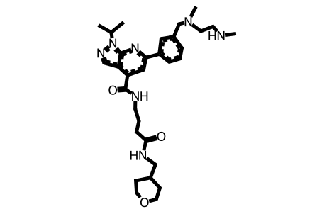 CNCCN(C)Cc1cccc(-c2cc(C(=O)NCCCC(=O)NCC3CCOCC3)c3cnn(C(C)C)c3n2)c1